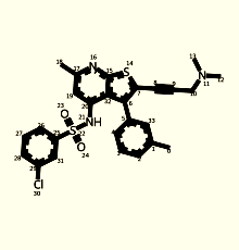 Cc1cccc(-c2c(C#CCN(C)C)sc3nc(C)cc(NS(=O)(=O)c4cccc(Cl)c4)c23)c1